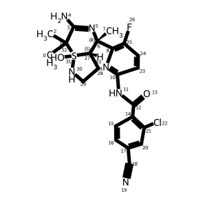 CC1(C)C(N)=N[C@](C)(c2nc(NC(=O)c3ccc(C#N)cc3Cl)ccc2F)[C@@H]2CCNS21O